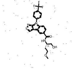 COCC[C@@H](CO)NC(=O)c1ccc2c(c1)c1csnc1n2-c1ccc(C(F)(F)F)cc1